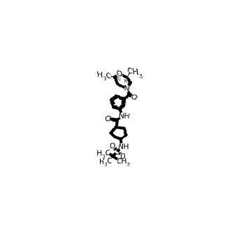 C[C@@H]1CN(C(=O)c2cccc(NC(=O)C3CCC(NS(=O)(=O)C(C)(C)C)CC3)c2)C[C@H](C)O1